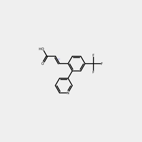 O=C(O)/C=C/c1ccc(C(F)(F)F)cc1-c1cccnc1